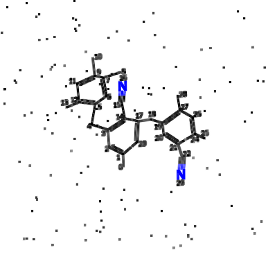 Cc1cc(Cc2cc(C)c(C)cc2C)c(C#N)c(Cc2cc(C#N)c(C)cc2C)c1